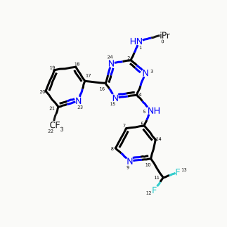 CC(C)Nc1nc(Nc2ccnc(C(F)F)c2)nc(-c2cccc(C(F)(F)F)n2)n1